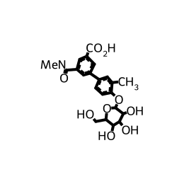 CNC(=O)c1cc(C(=O)O)cc(-c2ccc(OC3OC(CO)C(O)C(O)C3O)c(C)c2)c1